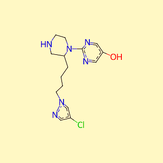 Oc1cnc(N2CCNCC2CCCCn2cc(Cl)cn2)nc1